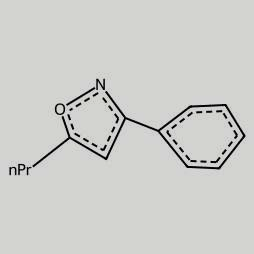 [CH2]CCc1cc(-c2ccccc2)no1